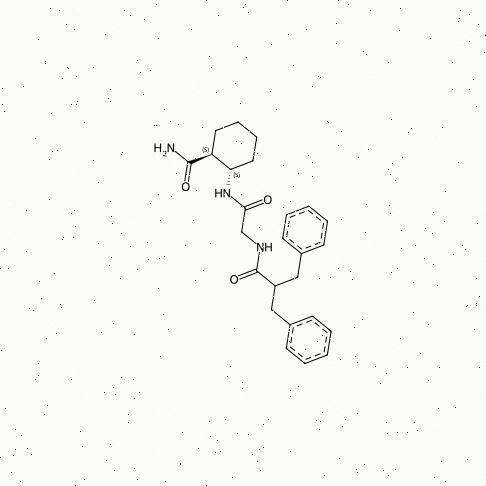 NC(=O)[C@H]1CCCC[C@@H]1NC(=O)CNC(=O)C(Cc1ccccc1)Cc1ccccc1